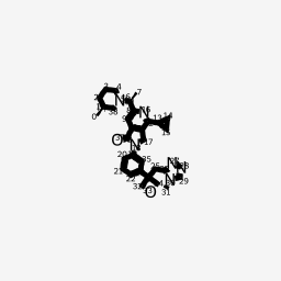 C[C@H]1CCCN([C@@H](C)c2cc3c(c(C4CC4)n2)CN(c2cccc(C4(Cc5nncn5C)COC4)c2)C3=O)C1